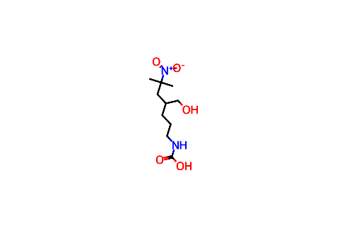 CC(C)(CC(CO)CCCNC(=O)O)[N+](=O)[O-]